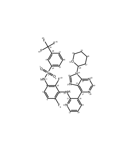 O=S(=O)(Nc1ccc(F)c(Nc2ncccc2-c2ncnc3c2ncn3C2CCCCO2)c1F)c1cccc(C(F)(F)F)c1